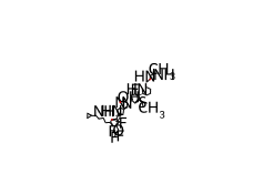 CSc1cc(N2C=c3cc(-c4cc(CCC[C@@H](N)C5CC5)cc(OC(F)(F)F)c4F)[nH]c3=NC2O)cc(F)c1[C@@H]1CCC[C@@H](CCNC(C)=N)N1